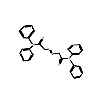 O=C(CN=NCC(=O)N(c1ccccc1)c1ccccc1)N(c1ccccc1)c1ccccc1